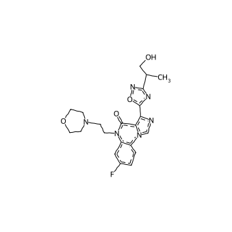 CC(CO)c1noc(-c2ncn3c2c(=O)n(CCN2CCOCC2)c2cc(F)ccc23)n1